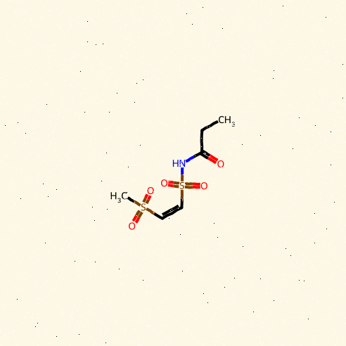 CCC(=O)NS(=O)(=O)/C=C\S(C)(=O)=O